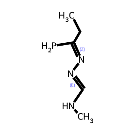 CC/C(P)=N/N=C/NC